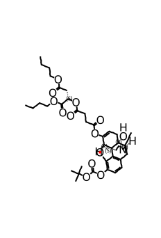 CCCCOC(=O)C[C@H](OC(=O)CCC(=O)OC1=CC[C@@]2(O)[C@H]3Cc4ccc(OC(=O)OC(C)(C)C)c5c4[C@@]2(CCN3C)[C@H]1O5)C(=O)OCCCC